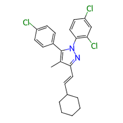 Cc1c(C=CC2CCCCC2)nn(-c2ccc(Cl)cc2Cl)c1-c1ccc(Cl)cc1